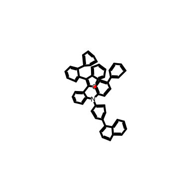 c1ccc(-c2ccc(N(c3ccc(-c4cccc5ccccc45)cc3)c3ccccc3-c3oc4ccccc4c3-c3ccccc3-c3ccccc3)cc2)cc1